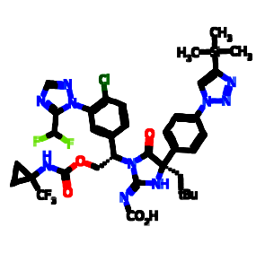 CC(C)(C)C[C@]1(c2ccc(-n3cc([Si](C)(C)C)nn3)cc2)N/C(=N\C(=O)O)N([C@H](COC(=O)NC2(C(F)(F)F)CC2)c2ccc(Cl)c(-n3ncnc3C(F)F)c2)C1=O